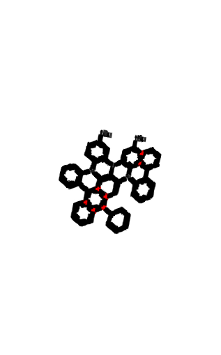 CC(C)(C)c1ccc2c(c1)B1C3=C(CC(N(c4ccccc4)C4C=CC=CC4)C=C3N2c2ccccc2-c2ccccc2)N(c2ccccc2-c2ccccc2)c2ccc(C(C)(C)C)cc21